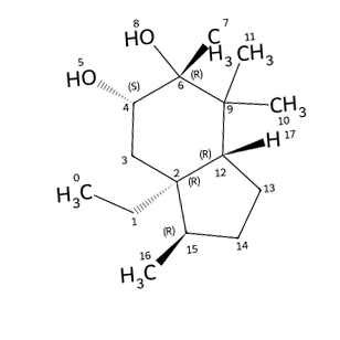 CC[C@]12C[C@H](O)[C@](C)(O)C(C)(C)[C@@H]1CC[C@H]2C